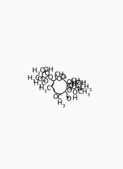 CCC1OC(=O)CC(O)C(C)C(OC2OC(C)C(O)C(N(C)C)C2O)C(CC=O)CC(C)C(=O)/C=C/C(C)=C/C1COC1OC(C)(O)CC(OC)C1OC